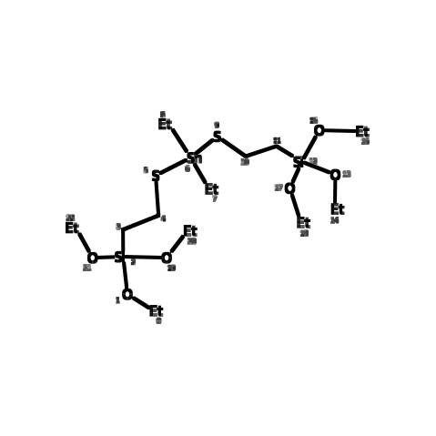 CCO[Si](CC[S][Sn]([CH2]C)([CH2]C)[S]CC[Si](OCC)(OCC)OCC)(OCC)OCC